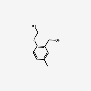 Cc1ccc(OCO)c(CO)c1